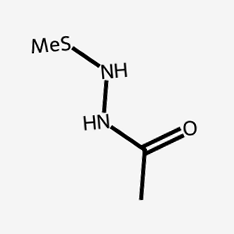 CSNNC(C)=O